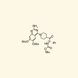 COc1cc2nc(N)nc(N3CCC(C(=O)[C@@H](NC(=O)OC(C)(C)C)C(C)C)CC3)c2cc1OC